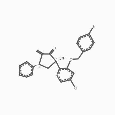 C=C1C(=O)[C@@](O)(c2ncc(Cl)cc2OCc2ccc(Br)cc2)C[C@@H]1c1ccccc1